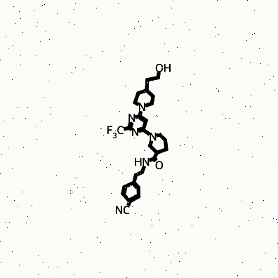 N#Cc1ccc(CCNC(=O)C2CCCN(c3cc(N4CCC(CCO)CC4)nc(C(F)(F)F)n3)C2)cc1